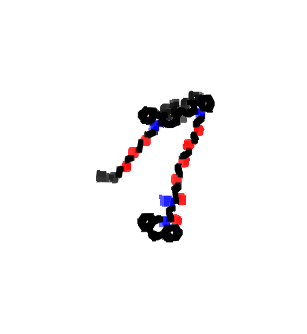 COCCOCCOCCOCC[N+]1=C(\C=C/C=C\C=C2\N(CCOCCOCCOCCOCCC(=O)NCCC(=O)N3Cc4ccccc4C#Cc4ccccc43)c3ccccc3C2(C)C)C(C)(C)c2ccccc21